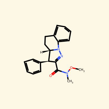 CON(C)C(=O)C1=NN2c3ccccc3CC[C@H]2[C@@H]1c1ccccc1